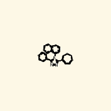 C1=CCCCC(c2nnc(-c3ccccc3)n2-c2cccc3ccccc23)=C1